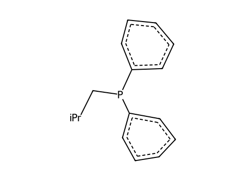 CC(C)CP(c1ccccc1)c1ccccc1